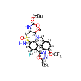 CC(C)(C)OC(=O)N[C@H]1CS(=N)(=O)c2cc(F)c(-c3nnc(C(C)(C)C)o3)cc2N(Cc2ccc(OC(F)(F)F)cc2)C1=O